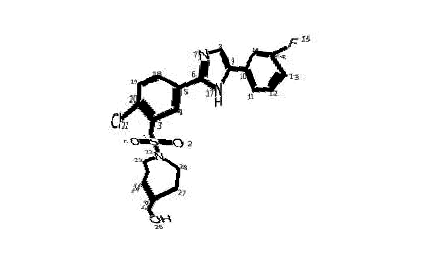 O=S(=O)(c1cc(-c2ncc(-c3cccc(F)c3)[nH]2)ccc1Cl)N1CCC(O)CC1